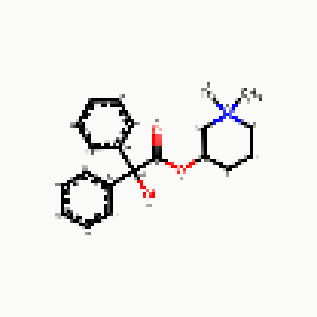 CC[N+]1(C)CCCC(OC(=O)C(O)(c2ccccc2)c2ccccc2)C1